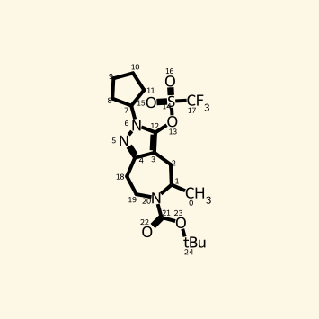 CC1Cc2c(nn(C3CCCC3)c2OS(=O)(=O)C(F)(F)F)CCN1C(=O)OC(C)(C)C